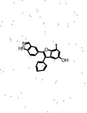 Cc1cc(O)cc2c(-c3ccccc3)c(-c3ccc4[nH]ncc4c3)oc12